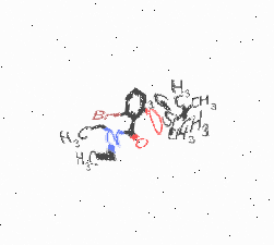 CCN(CC)C(=O)c1c(Br)cccc1O[Si](C)(C)C(C)(C)C